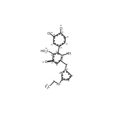 CCn1c(Cn2ccc(OCC(F)(F)F)n2)cc(=O)c(C(=O)O)c1-c1ccc(Cl)c(Cl)c1